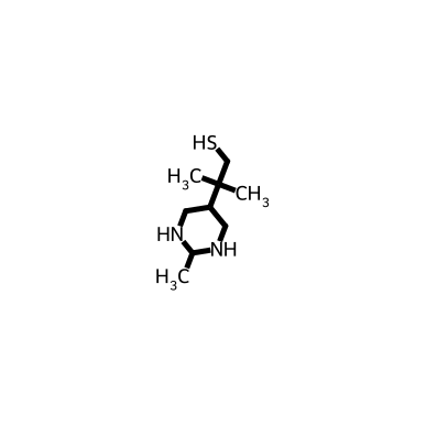 CC1NCC(C(C)(C)CS)CN1